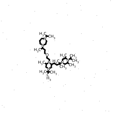 CC(C)N1CCCN(C(C)CCOCCN2C(C)CN(C(C)(C)C)CC2CCC(C)(C)N2CC(C)N(C(C)C)C(C)C2)CC1